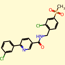 CS(=O)(=O)c1ccc(CNC(=O)c2ccc(-c3cccc(Cl)c3)nc2)c(Cl)c1